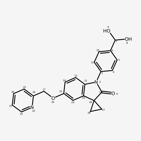 O=C1N(c2ccc(C(O)O)cc2)c2ccc(OCc3ccccn3)cc2C12CC2